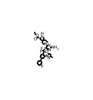 CCOC(=O)[C@@H]1CC2(CCN(c3cc(O[C@H](c4ccc(-c5cccc(F)c5)cc4-n4ccc(C)n4)C(F)(F)F)nc(N)n3)CC2)CN1